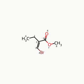 CCC(=CBr)C(=O)OC